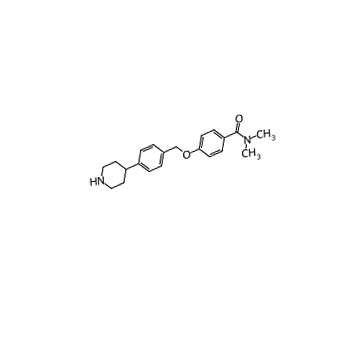 CN(C)C(=O)c1ccc(OCc2ccc(C3CCNCC3)cc2)cc1